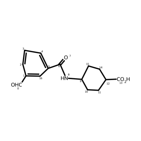 O=Cc1cccc(C(=O)NC2CCC(C(=O)O)CC2)c1